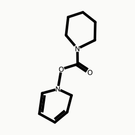 O=C(ON1C=CC=CC1)N1CCCCC1